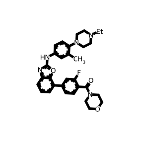 CCN1CCN(c2ccc(Nc3nc4cccc(-c5ccc(C(=O)N6CCOCC6)c(F)c5)c4o3)cc2C)CC1